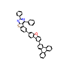 c1ccc(-c2nc(-c3ccccc3)c3c(n2)sc2ccc(-c4ccc5c(c4)oc4ccc(-c6ccc7c8ccccc8c8ccccc8c7c6)cc45)cc23)cc1